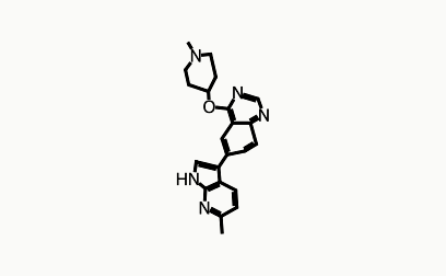 Cc1ccc2c(-c3ccc4ncnc(OC5CCN(C)CC5)c4c3)c[nH]c2n1